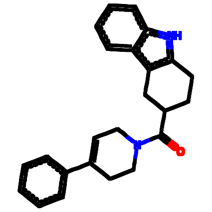 O=C(C1CCc2[nH]c3ccccc3c2C1)N1CC=C(c2ccccc2)CC1